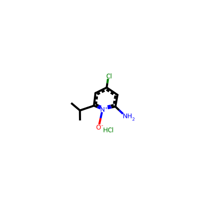 CC(C)c1cc(Cl)cc(N)[n+]1[O-].Cl